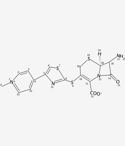 C[n+]1ccc(-c2csc(SC3=C(C(=O)[O-])N4C(=O)C(N)[C@@H]4SC3)n2)cc1